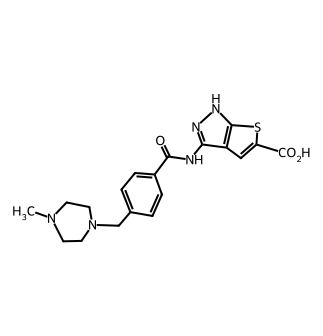 CN1CCN(Cc2ccc(C(=O)Nc3n[nH]c4sc(C(=O)O)cc34)cc2)CC1